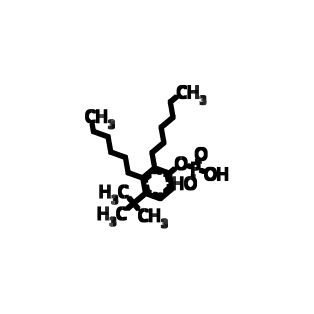 CCCCCCc1c(OP(=O)(O)O)ccc(C(C)(C)C)c1CCCCCC